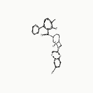 Cc1ccc(-c2ccccn2)c(C(=O)N2CCC3CN(c4cnc5cc(F)ccc5n4)[C@@H]3C2)c1F